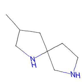 CC1CNC2(CCNC2)C1